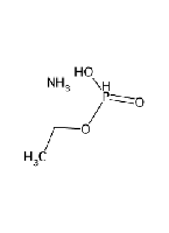 CCO[PH](=O)O.N